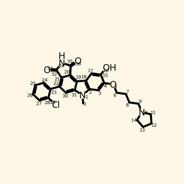 Cn1c2cc(OCCCCN3CCCC3)c(O)cc2c2c3c(c(-c4ccccc4Cl)cc21)C(=O)NC3=O